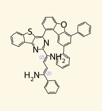 N/C(=C\C=C(/N)c1nc(-c2cccc3oc4c(-c5ccccc5)cc(-c5ccccc5)cc4c23)c2sc3ccccc3c2n1)c1ccccc1